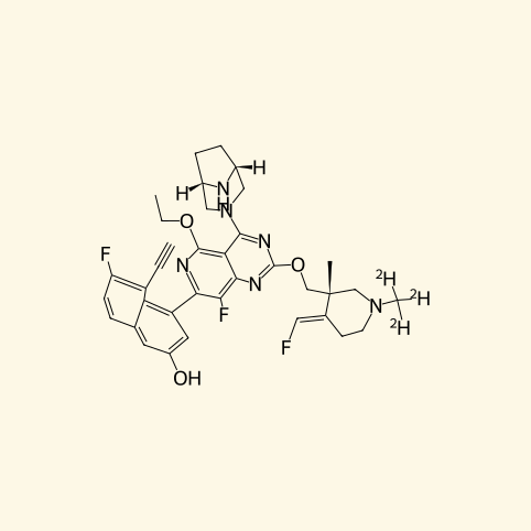 [2H]C([2H])([2H])N1CC/C(=C\F)[C@](C)(COc2nc(N3C[C@H]4CC[C@@H](C3)N4)c3c(OCC)nc(-c4cc(O)cc5ccc(F)c(C#C)c45)c(F)c3n2)C1